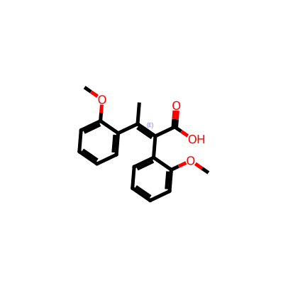 COc1ccccc1/C(C)=C(/C(=O)O)c1ccccc1OC